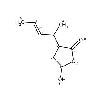 C/C=C/C(C)C1CC(O)OC1=O